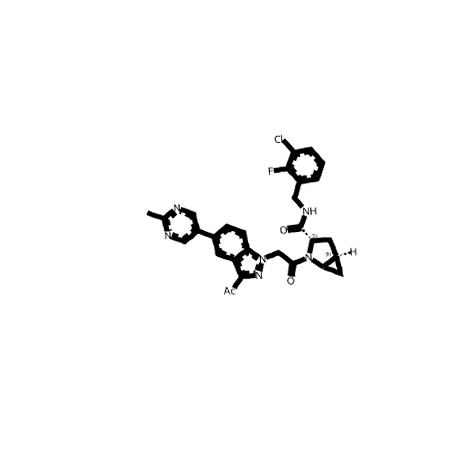 CC(=O)c1nn(CC(=O)N2C3C[C@@H]3C[C@H]2C(=O)NCc2cccc(Cl)c2F)c2ccc(-c3cnc(C)nc3)cc12